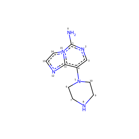 Nc1ncc(N2CCNCC2)c2nccn12